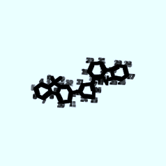 CC1(C)c2ccccc2-c2ccc(-c3cccc(-c4cccc5c4[nH]c4ccccc45)c3)cc21